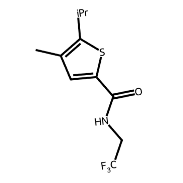 Cc1cc(C(=O)NCC(F)(F)F)sc1C(C)C